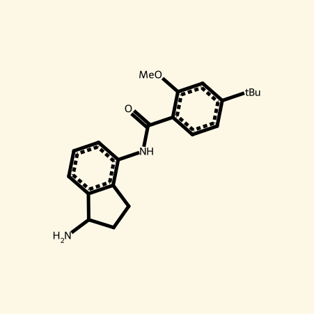 COc1cc(C(C)(C)C)ccc1C(=O)Nc1cccc2c1CCC2N